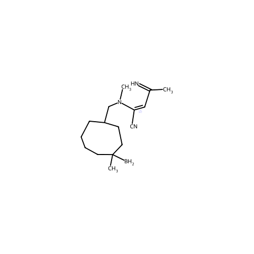 BC1(C)CCCCC(CN(C)/C(C#N)=C\C(C)=N)CC1